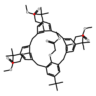 COC(=O)COc1c2cc(C(C)(C)C)cc1Cc1cc(C(C)(C)C)cc(c1OCC(=O)OC)Cc1cc(C(C)(C)C)cc(c1OCC(=O)OC)Cc1cc(C(C)(C)C)cc(c1OCC(=O)OC)C2